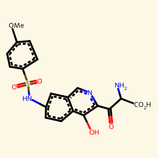 COc1ccc(S(=O)(=O)Nc2ccc3c(O)c(C(=O)C(N)C(=O)O)ncc3c2)cc1